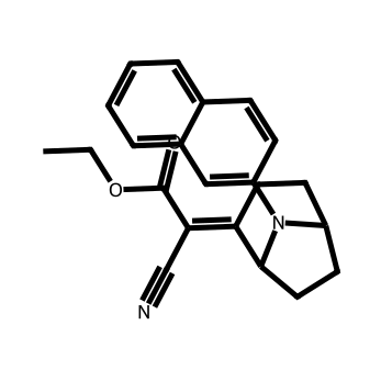 CCOC(=O)C(C#N)=C1CCC2CCC1N2c1ccc2ccccc2c1